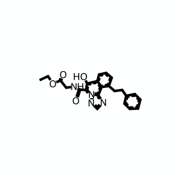 CCOC(=O)CNC(=O)c1c(O)c2cccc(CCc3ccccc3)c2c2ncnn12